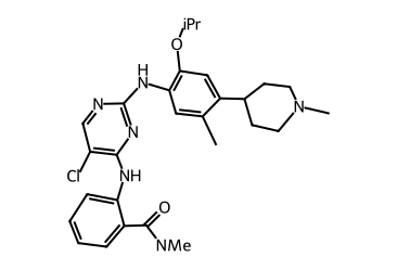 CNC(=O)c1ccccc1Nc1nc(Nc2cc(C)c(C3CCN(C)CC3)cc2OC(C)C)ncc1Cl